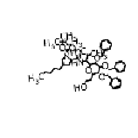 CCCCCC1CC(C(=O)NC(C(C)C)C2OC(CCO)C(OCc3ccccc3)C(OCc3ccccc3)C2OCc2ccccc2)N(C(=O)OC(C)(C)C)C1